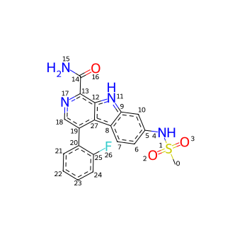 CS(=O)(=O)Nc1ccc2c(c1)[nH]c1c(C(N)=O)ncc(-c3ccccc3F)c12